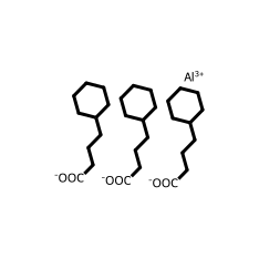 O=C([O-])CCCC1CCCCC1.O=C([O-])CCCC1CCCCC1.O=C([O-])CCCC1CCCCC1.[Al+3]